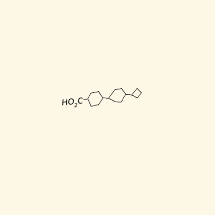 O=C(O)C1CCC(C2CCC(C3CCC3)CC2)CC1